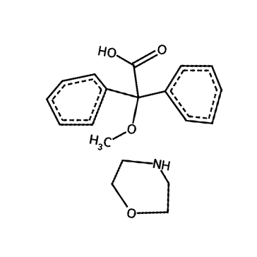 C1COCCN1.COC(C(=O)O)(c1ccccc1)c1ccccc1